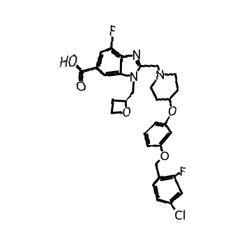 O=C(O)c1cc(F)c2nc(CN3CCC(Oc4cccc(OCc5ccc(Cl)cc5F)c4)CC3)n(C[C@@H]3CCO3)c2c1